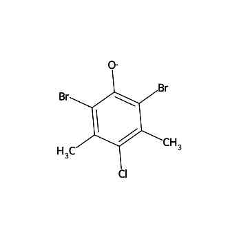 Cc1c(Cl)c(C)c(Br)c([O])c1Br